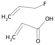 C=CC(=O)O.C=CCF